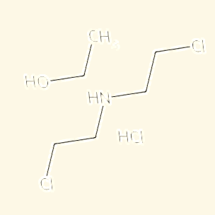 CCO.Cl.ClCCNCCCl